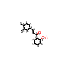 Cc1ccc(/C=C/C(=O)c2ccccc2O)cc1C